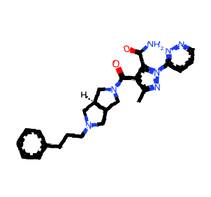 Cc1nn(-c2cccnn2)c(C(N)=O)c1C(=O)N1CC2CN(CC[CH]c3ccccc3)C[C@H]2C1